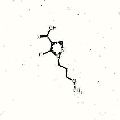 COCCCn1ncc(C(=O)O)c1Cl